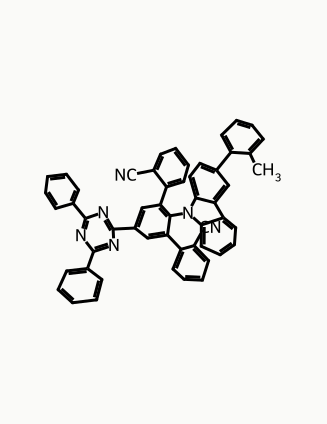 Cc1ccccc1-c1ccc2c(c1)c1ccccc1n2-c1c(-c2ccccc2C#N)cc(-c2nc(-c3ccccc3)nc(-c3ccccc3)n2)cc1-c1ccccc1C#N